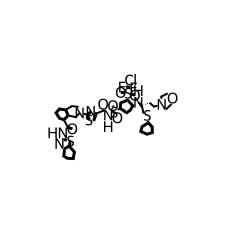 O=C(NS(=O)(=O)c1ccc(N[C@H](CCN2CCOCC2)CSc2ccccc2)c(S(=O)(=O)C(F)(F)Cl)c1)c1csc(N2CCc3cccc(C(=O)Nc4nc5ccccc5s4)c3C2)n1